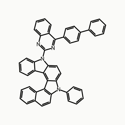 c1ccc(-c2ccc(-c3nc(-n4c5ccccc5c5c6c7c8ccccc8ccc7n(-c7ccccc7)c6ccc54)nc4ccccc34)cc2)cc1